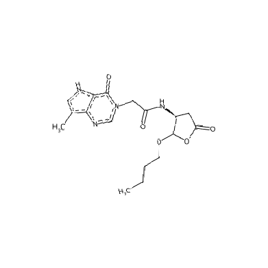 CCCCOC1OC(=O)C[C@@H]1NC(=O)Cn1cnc2c(C)c[nH]c2c1=O